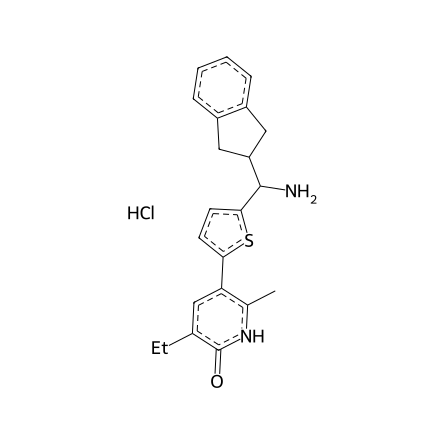 CCc1cc(-c2ccc(C(N)C3Cc4ccccc4C3)s2)c(C)[nH]c1=O.Cl